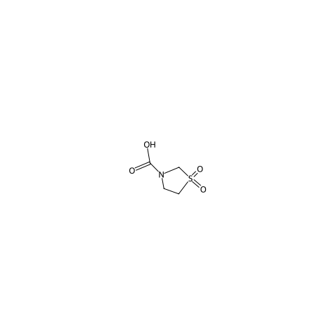 O=C(O)N1CCS(=O)(=O)C1